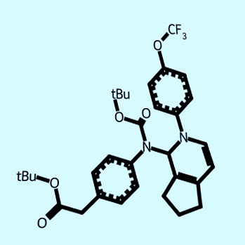 CC(C)(C)OC(=O)Cc1ccc(N(C(=O)OC(C)(C)C)C2C3=C(C=CN2c2ccc(OC(F)(F)F)cc2)CCC3)cc1